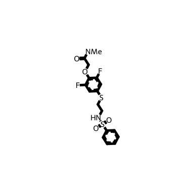 CNC(=O)COc1c(F)cc(SCCNS(=O)(=O)c2ccccc2)cc1F